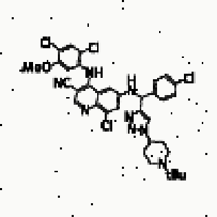 COc1cc(Nc2c(C#N)cnc3c(Cl)cc(NC(c4ccc(Cl)cc4)c4cn(C5CCN(C(C)(C)C)CC5)nn4)cc23)c(Cl)cc1Cl